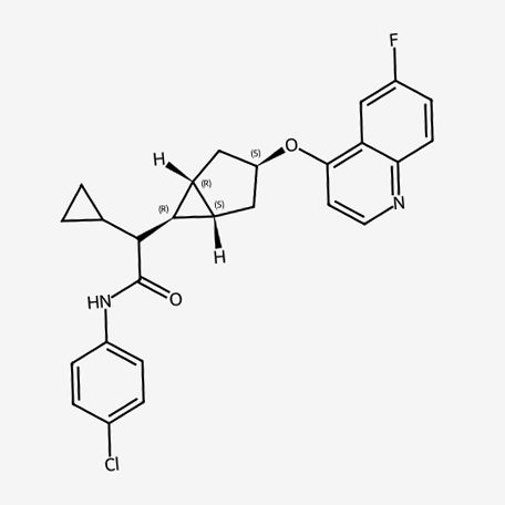 O=C(Nc1ccc(Cl)cc1)C(C1CC1)[C@H]1[C@@H]2C[C@@H](Oc3ccnc4ccc(F)cc34)C[C@@H]21